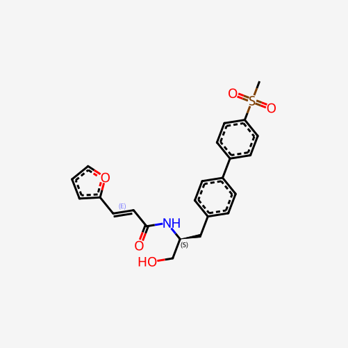 CS(=O)(=O)c1ccc(-c2ccc(C[C@@H](CO)NC(=O)/C=C/c3ccco3)cc2)cc1